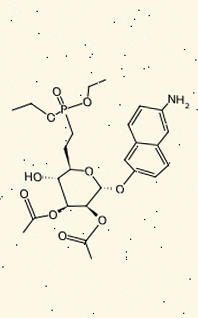 CCOP(=O)(CC[C@H]1O[C@H](Oc2ccc3cc(N)ccc3c2)[C@@H](OC(C)=O)[C@@H](OC(C)=O)[C@@H]1O)OCC